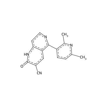 Cc1ccc(-c2nccc3[nH]c(=O)c(C#N)cc23)c(C)n1